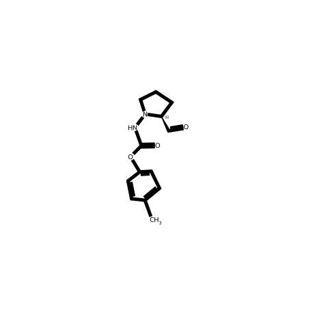 Cc1ccc(OC(=O)NN2CCC[C@H]2C=O)cc1